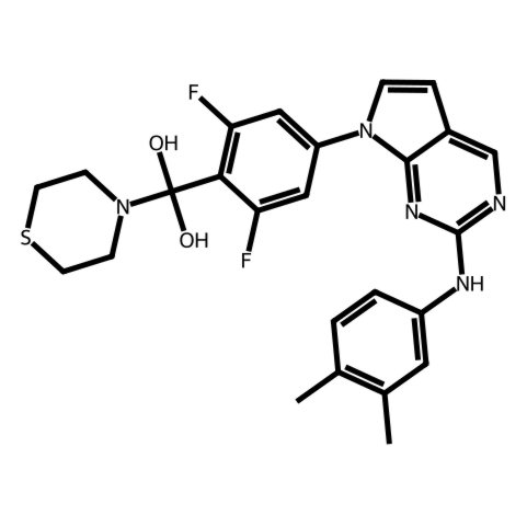 Cc1ccc(Nc2ncc3ccn(-c4cc(F)c(C(O)(O)N5CCSCC5)c(F)c4)c3n2)cc1C